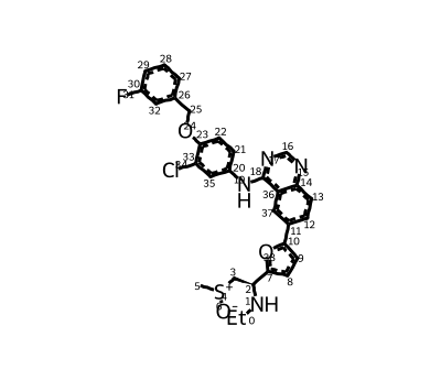 CCN[C@@H](C[S+](C)[O-])c1ccc(-c2ccc3ncnc(Nc4ccc(OCc5cccc(F)c5)c(Cl)c4)c3c2)o1